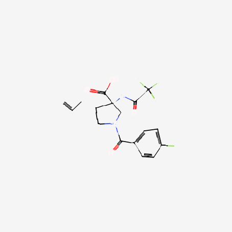 C=CC[C@H]1CN(C(=O)c2ccc(F)cc2)C[C@@]1(NC(=O)C(F)(F)F)C(=O)O